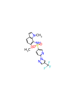 COc1ccc2ccn(C)c2c1NS(=O)(=O)c1ccc(-n2cc(C(F)(F)F)cn2)nc1